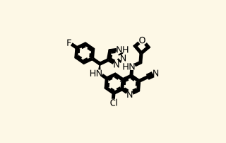 N#Cc1cnc2c(Cl)cc(N[C@@H](c3ccc(F)cc3)c3c[nH]nn3)cc2c1NCC1COC1